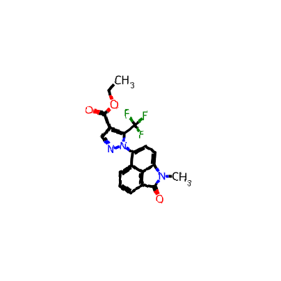 CCOC(=O)c1cnn(-c2ccc3c4c(cccc24)C(=O)N3C)c1C(F)(F)F